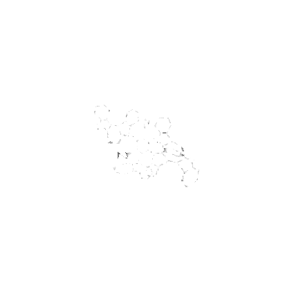 N#Cc1c(-n2c3ccccc3c3ccccc32)c(-n2c3ccccc3c3c4c(ccc32)sc2ccccc24)c(-n2c3ccccc3c3ccccc32)c(C#N)c1-n1c2ccccc2c2c3c(ccc21)sc1ccccc13